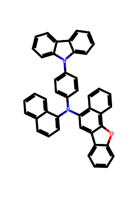 c1ccc2c(N(c3ccc(-n4c5ccccc5c5ccccc54)cc3)c3cc4c5ccccc5oc4c4ccccc34)cccc2c1